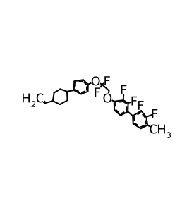 C=CC1CCC(c2ccc(OC(F)(F)COc3ccc(-c4ccc(C)c(F)c4F)c(F)c3F)cc2)CC1